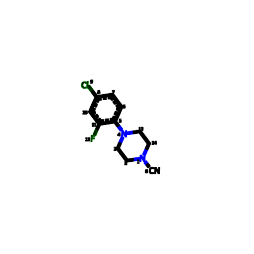 N#CN1CCN(c2ccc(Cl)cc2F)CC1